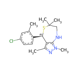 Cc1cc(Cl)ccc1[C@H]1SC(C)(C)CNc2c1c(C)nn2C